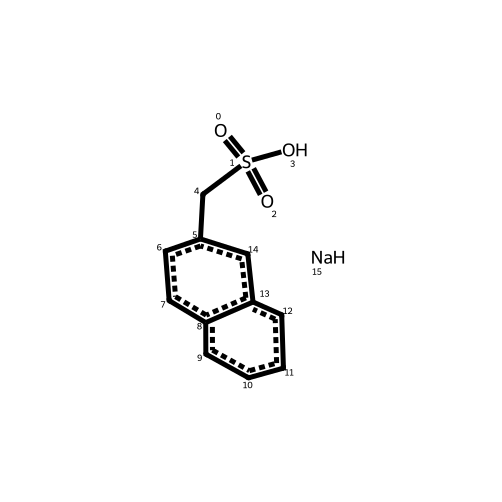 O=S(=O)(O)Cc1ccc2ccccc2c1.[NaH]